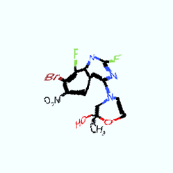 C[C@@]1(O)CN(c2nc(F)nc3c(F)c(Br)c([N+](=O)[O-])cc23)C=CO1